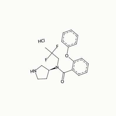 CC(F)(F)CN(C(=O)c1ccccc1Oc1ccccc1)[C@H]1CCNC1.Cl